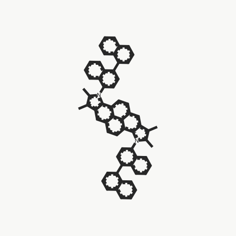 Cc1c(C)n(-c2ccc(-c3cccc4ccccc34)c3ccccc23)c2c1cc1ccc3c4c(ccc2c14)cc1c(C)c(C)n(-c2ccc(-c4cccc5ccccc45)c4ccccc24)c13